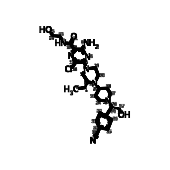 CC[C@H]1CN(c2nc(N)c(C(=O)NCCO)nc2Cl)CCN1C1CCN([C@@H](CO)c2ccc(C#N)cc2)CC1